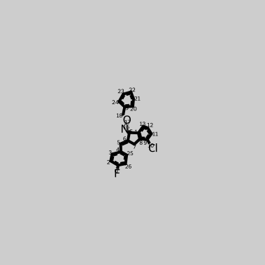 Fc1ccc(/C=C2\Cc3c(Cl)cccc3\C2=N/OCc2ccccc2)cc1